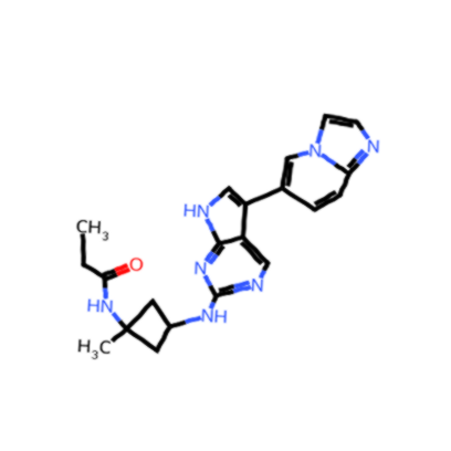 CCC(=O)NC1(C)CC(Nc2ncc3c(-c4ccc5nccn5c4)c[nH]c3n2)C1